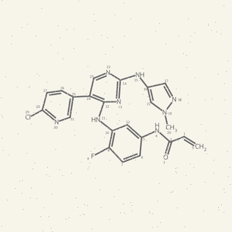 C=CC(=O)Nc1ccc(F)c(Nc2nc(Nc3cnn(C)c3)ncc2-c2ccc(Cl)nc2)c1